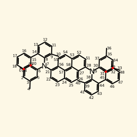 Cc1cc(C)cc(N(c2c(C)cccc2-c2ccccc2)c2ccc3ccc4c(N(c5cc(C)cc(C)c5)c5c(C)cccc5-c5ccccc5)ccc5ccc2c3c54)c1